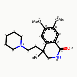 CCCC1(CCN2CCCCC2)CNC(=O)c2cc(OC)c(OC)cc21